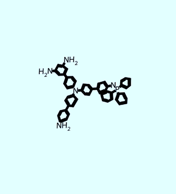 Nc1ccc(-c2ccc(N(c3ccc(-c4ccc(N=P(c5ccccc5)(c5ccccc5)c5ccccc5)cc4)cc3)c3ccc(-c4cc(N)cc(N)c4)cc3)cc2)cc1